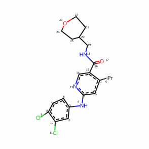 CC(C)c1cc(Nc2ccc(Cl)c(Cl)c2)ncc1C(=O)NCC1CCOCC1